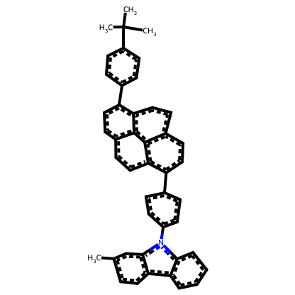 Cc1ccc2c3ccccc3n(-c3ccc(-c4ccc5ccc6c(-c7ccc(C(C)(C)C)cc7)ccc7ccc4c5c76)cc3)c2c1